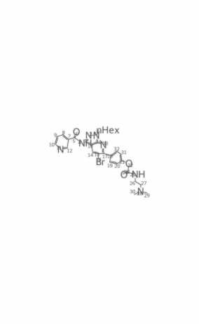 CCCCCCn1nc(NC(=O)c2cccnc2)c2cc(Br)c(-c3ccc(OC(=O)NCCN(C)C)cc3)nc21